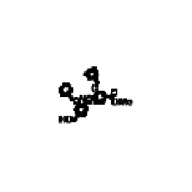 COC(=O)c1ccc(C#N)c(OCc2ccccc2)c1.N#Cc1ccc(CO)cc1OCc1ccccc1